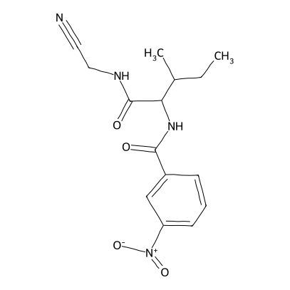 CCC(C)C(NC(=O)c1cccc([N+](=O)[O-])c1)C(=O)NCC#N